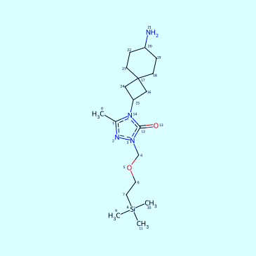 Cc1nn(COCC[Si](C)(C)C)c(=O)n1C1CC2(CCC(N)CC2)C1